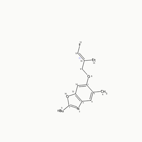 CCCCc1nc2cc(C)c(OC/C(=C/F)CC)cc2o1